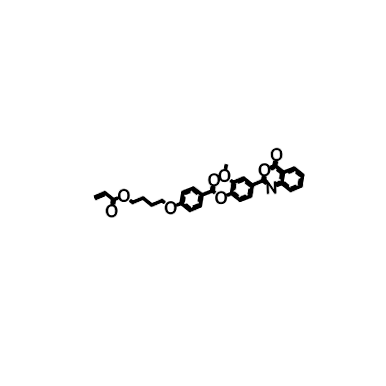 C=CC(=O)OCCCCOc1ccc(C(=O)Oc2ccc(-c3nc4ccccc4c(=O)o3)cc2OC)cc1